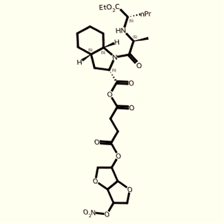 CCC[C@H](N[C@@H](C)C(=O)N1[C@H](C(=O)OC(=O)CCC(=O)OC2COC3C(O[N+](=O)[O-])COC23)C[C@@H]2CCCC[C@@H]21)C(=O)OCC